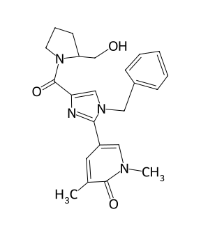 Cc1cc(-c2nc(C(=O)N3CCCC3CO)cn2Cc2ccccc2)cn(C)c1=O